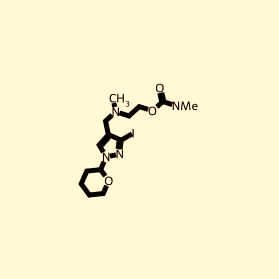 CNC(=O)OCCN(C)Cc1cn(C2CCCCO2)nc1I